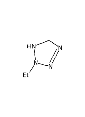 CCN1N=NCN1